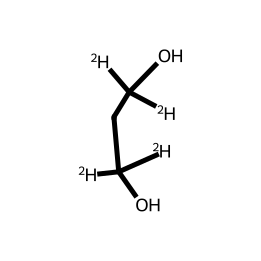 [2H]C([2H])(O)CC([2H])([2H])O